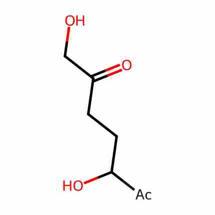 CC(=O)C(O)CCC(=O)CO